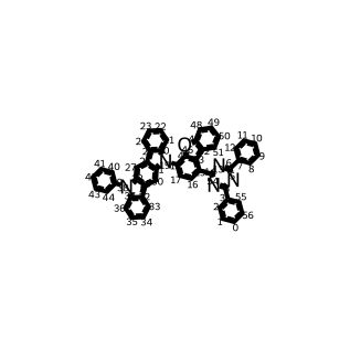 c1ccc(-c2nc(-c3ccccc3)nc(-c3ccc(-n4c5ccccc5c5cc6c(cc54)c4ccccc4n6-c4ccccc4)c4oc5ccccc5c34)n2)cc1